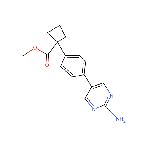 COC(=O)C1(c2ccc(-c3cnc(N)nc3)cc2)CCC1